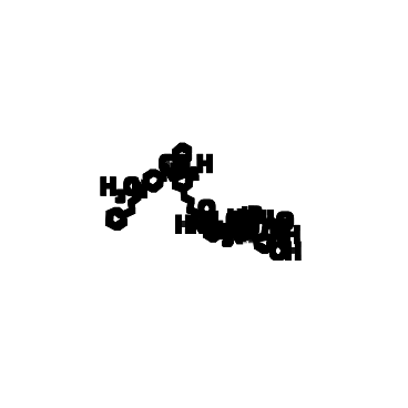 CN(CCCc1ccccc1)[C@H]1CC[C@H](N(C(=O)O)c2cc(CCCC(=O)Nc3ccc(CNC[C@H](O[Si](C)(C)C(C)(C)C)c4ccc(O)c5[nH]c(=O)ccc45)cc3)ccc2-c2ccccc2)CC1